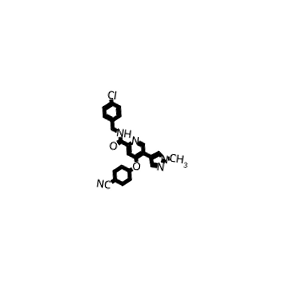 Cn1cc(-c2cnc(C(=O)NCc3ccc(Cl)cc3)cc2OC2CCC(C#N)CC2)cn1